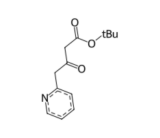 CC(C)(C)OC(=O)CC(=O)Cc1ccccn1